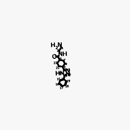 NCCNC(=O)C1CCC(c2nnc(-c3ccccc3)[nH]2)CC1